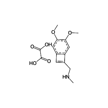 CNCC1=Cc2cc(OC)c(OC)cc21.O=C(O)C(=O)O